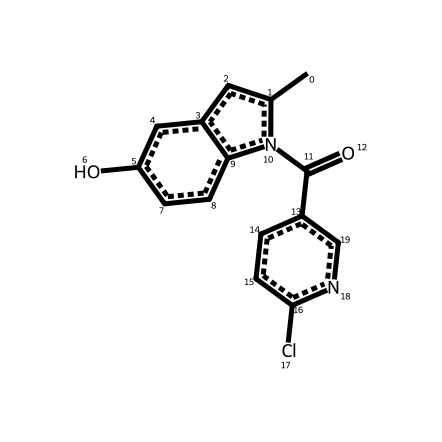 Cc1[c]c2cc(O)ccc2n1C(=O)c1ccc(Cl)nc1